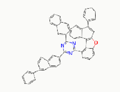 C1=CC(c2cc3oc4cccc(-c5nc(-c6ccc7ccccc7c6)nc(-c6ccc7cc(-c8ccccc8)ccc7c6)n5)c4c3c3ccccc23)=CCC1